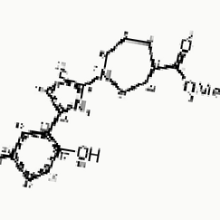 COC(=O)C1CCCN(c2nc(-c3cc(C)ccc3O)cs2)CC1